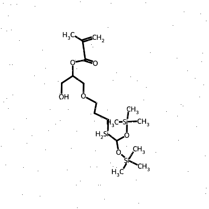 C=C(C)C(=O)OC(CO)COCCC[SiH2]C(O[Si](C)(C)C)O[Si](C)(C)C